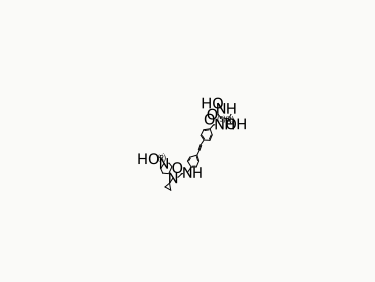 C[C@@H](O)[C@H](NC(=O)c1ccc(C#Cc2ccc(NC(=O)CN(C3CC3)C3CCN([C@@H](C)O)CC3)cc2)cc1)C(=O)NO